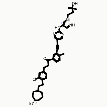 CC[C@H]1CCCC(CCc2ccc(CCC(=O)c3ccc(C)c(C#Cc4cnc(N/C(C=N)=C/NCCC(C)(C)O)nc4)c3)cc2Cl)CC1